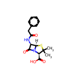 CC1(C)S[C@@H]2[C@H](NC(=O)Cc3ccccc3)C(=O)N2[C@@H]1C(=O)O